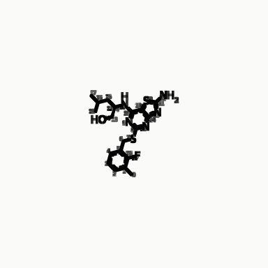 Cc1cccc(CSc2nc(N[C@@H](CO)CC(C)C)c3sc(N)nc3n2)c1F